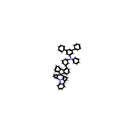 c1ccc(-c2cc(-c3ccccc3)cc(N(c3ccccc3)c3cccc(-c4cccc5c4-c4ccccc4C54c5ccccc5-n5c6ccccc6c6cccc4c65)c3)c2)cc1